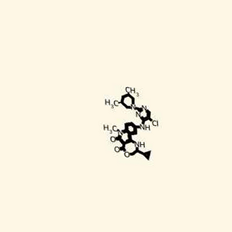 C[C@@H]1C[C@H](C)CN(c2ncc(Cl)c(Nc3ccc4c(c3)c3c(c(=O)n4C)C(=O)OCC(C4CC4)N3)n2)C1